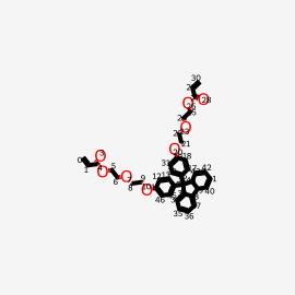 C=CC(=O)OCCOCCOc1ccc(C2(c3ccc(OCCOCCOC(=O)C=C)cc3)c3ccccc3C3C=CC=CC32)cc1